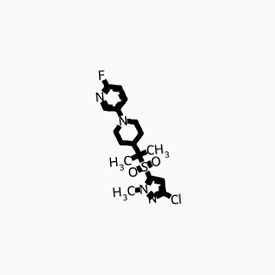 Cn1nc(Cl)cc1S(=O)(=O)C(C)(C)C1CCN(c2ccc(F)nc2)CC1